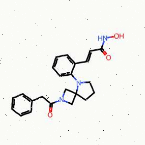 O=C(C=Cc1ccccc1N1CCCC12CN(C(=O)Cc1ccccc1)C2)NO